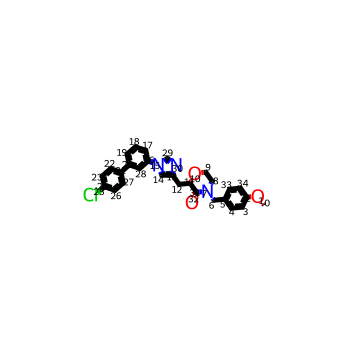 COc1ccc(CN2CCOC(Cc3cn(-c4cccc(-c5ccc(Cl)cc5)c4)cn3)C2=O)cc1